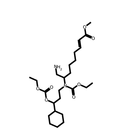 CCOC(=O)OC(CCN(C(=O)OCC)C(CN)CCCCC=CC(=O)OC)C1CCCCC1